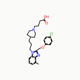 Cc1cccc2c1nc(COc1ccc(Cl)cc1)n2CCCC1CCN(CCCC(=O)O)CC1